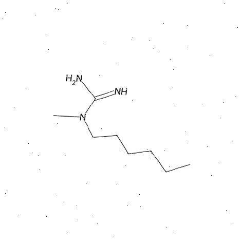 CCCCCCN(C)C(=N)N